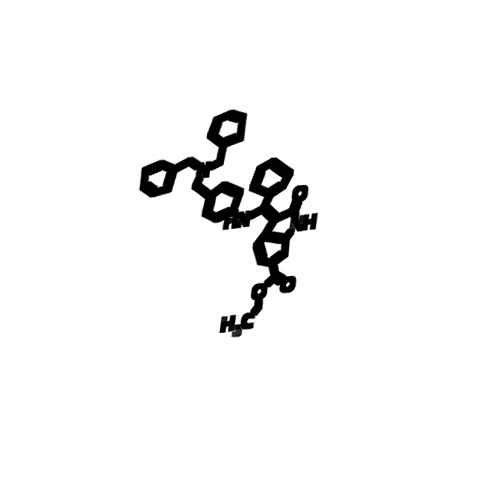 CCOC(=O)c1ccc2c(c1)NC(=O)C2=C(Nc1ccc(CN(Cc2ccccc2)Cc2ccccc2)cc1)c1ccccc1